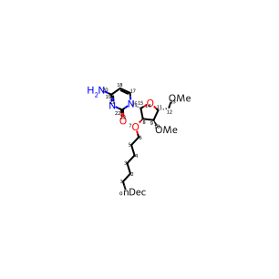 CCCCCCCCCCCCCCCCO[C@@H]1[C@H](OC)[C@@H](COC)O[C@H]1n1ccc(N)nc1=O